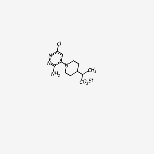 CCOC(=O)C(C)C1CCN(c2cc(Cl)nnc2N)CC1